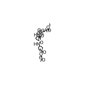 CCOC(=O)C(C)(C)COS(=O)(=O)ON1C(=O)N2C[C@H]1CC[C@H]2C(=O)NC1CCN(C(=O)OCOC(C)=O)CC1